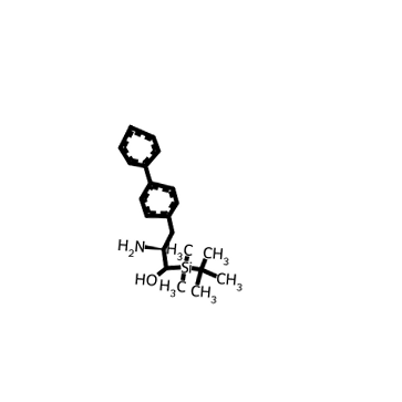 CC(C)(C)[Si](C)(C)C(O)[C@@H](N)Cc1ccc(-c2ccccc2)cc1